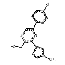 Cn1cc(-c2nc(-c3ccc(Cl)cc3)cnc2CO)cn1